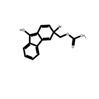 CC(=O)OCC1(Br)C=CC2=C(O)c3ccccc3C2=C1